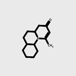 CC1=CC(=O)CC2CCC3CCCCC3N12